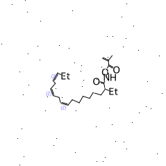 C=C(C)C(=O)ONC(=O)C(CC)CCCCCC/C=C\C/C=C\C/C=C\CC